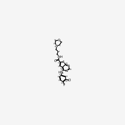 O=C(NCCCN1CCOCC1)c1cc2c(Nc3ccc(F)c(Cl)c3)ncnc2s1